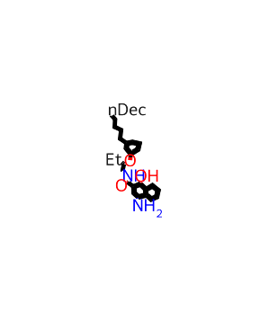 CCCCCCCCCCCCCCCc1cccc(OC(CC)CNC(=O)c2cc(N)c3ccccc3c2O)c1